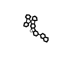 c1ccc2c(c1)-c1ccccc1C21c2ccccc2-c2cc3c(cc21)oc1ccc(-c2ccc4ccccc4c2)cc13